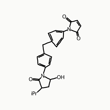 CC(C)C1CC(O)N(c2ccc(Cc3ccc(N4C(=O)C=CC4=O)cc3)cc2)C1=O